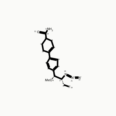 CO[C@H](c1ccc(C2=CCC(C(N)=O)CC2)cc1)[C@@H](CF)N=[N+]=[N-]